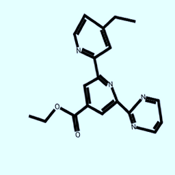 CCOC(=O)c1cc(-c2cc(CC)ccn2)nc(-c2ncccn2)c1